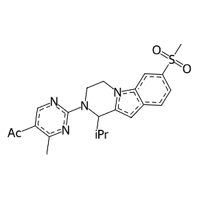 CC(=O)c1cnc(N2CCn3c(cc4ccc(S(C)(=O)=O)cc43)C2C(C)C)nc1C